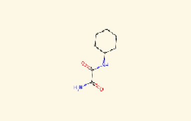 NC(=O)C(=O)NC1CCCCC1